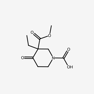 CCC1(C(=O)OC)CN(C(=O)O)CCC1=O